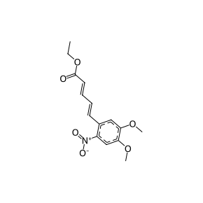 CCOC(=O)C=CC=Cc1cc(OC)c(OC)cc1[N+](=O)[O-]